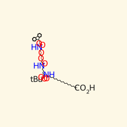 CC(C)(C)OC(=O)C(CCCCNC(=O)CCOCCOCCNC(=O)OCC1c2ccccc2-c2ccccc21)NC(=O)CCCCCCCCCCCCCCCCC(=O)O